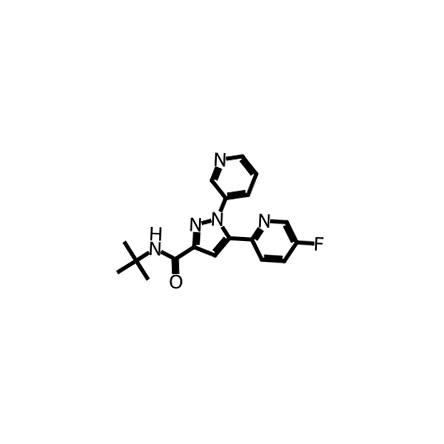 CC(C)(C)NC(=O)c1cc(-c2ccc(F)cn2)n(-c2cccnc2)n1